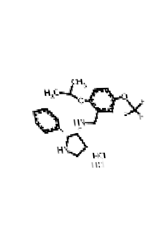 CC(C)Oc1ccc(OC(F)(F)F)cc1CN[C@@H]1CCN[C@@H]1c1ccccc1.Cl.Cl